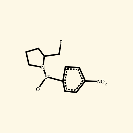 O=[N+]([O-])c1ccc([S+]([O-])N2CCCC2CF)cc1